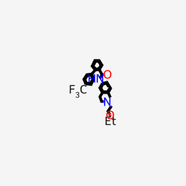 CCOCCN1CCc2cc(NC(=O)c3ccccc3-c3ccc(C(F)(F)F)cc3)ccc2C1